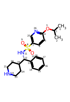 CC(C)Oc1ccc(S(=O)(=O)N[C@H](c2ccccc2)C2CCNCC2)cn1